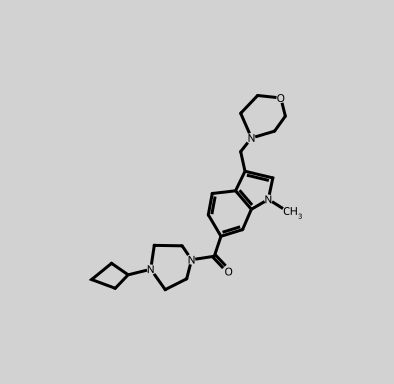 Cn1cc(CN2CCOCC2)c2ccc(C(=O)N3CCN(C4CCC4)CC3)cc21